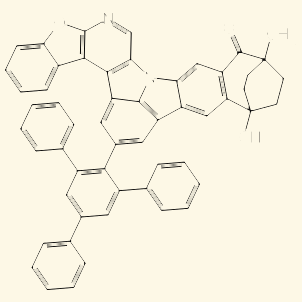 CC12CCC(C)(CC1)c1cc3c4cc(-c5c(-c6ccccc6)cc(-c6ccccc6)cc5-c5ccccc5)cc5c6c7c(ncc6n(c3cc1C2=O)c45)oc1ccccc17